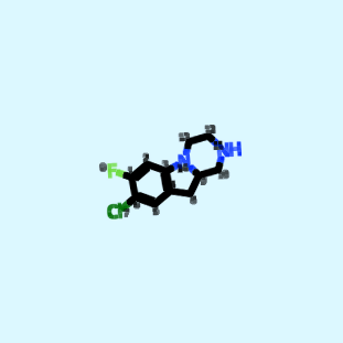 Fc1cc2c(cc1Cl)CC1CNCCN21